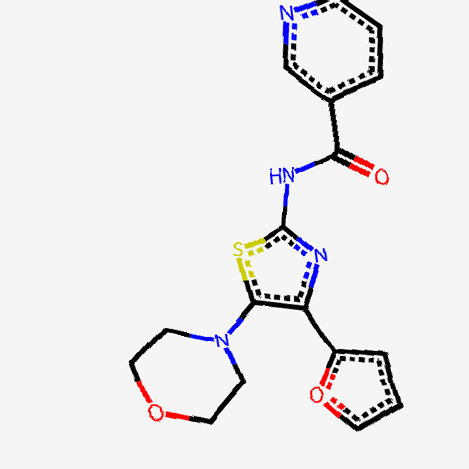 O=C(Nc1nc(-c2ccco2)c(N2CCOCC2)s1)c1cccnc1